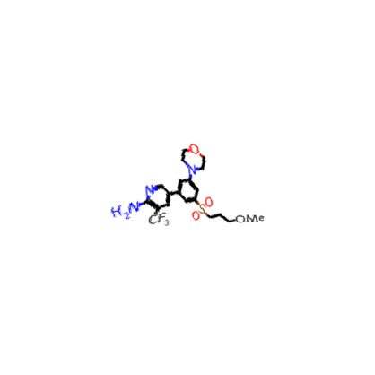 COCCCS(=O)(=O)c1cc(-c2cnc(N)c(C(F)(F)F)c2)cc(N2CCOCC2)c1